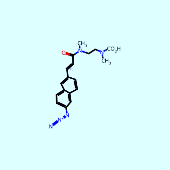 CN(CCN(C)C(=O)/C=C/c1ccc2cc(N=[N+]=[N-])ccc2c1)C(=O)O